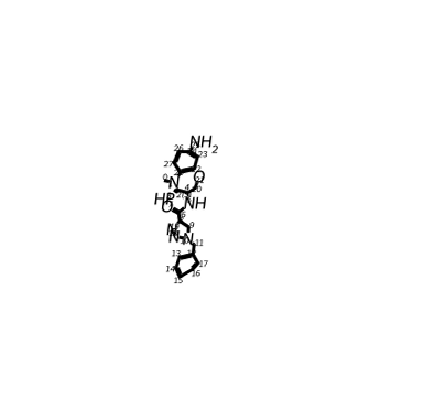 CN1C(=P)[C@@H](NC(=O)C2CN(Cc3ccccc3)N=N2)COc2cc(N)ccc21